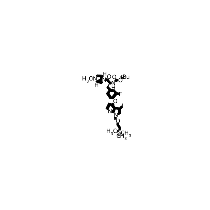 CN1C[C@@H]2C[C@H]1CN2C(=O)[C@H](Cc1ccc(Oc2ccnc3c2c(I)cn3COCCS(C)(C)C)c(F)c1)NC(=O)OC(C)(C)C